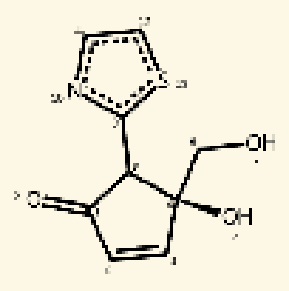 O=C1C=C[C@@](O)(CO)C1c1nccs1